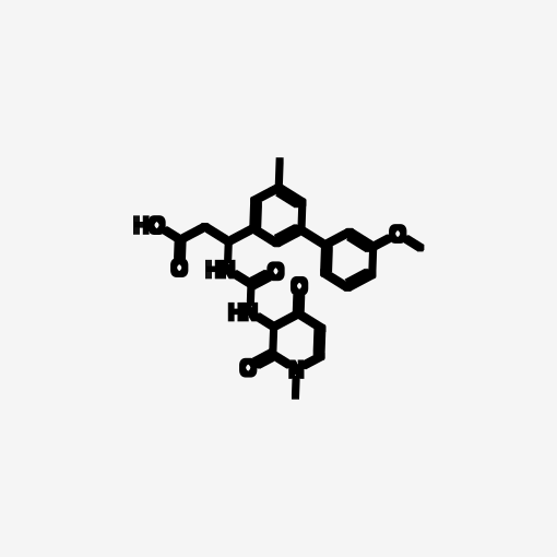 COc1cccc(-c2cc(C)cc(C(CC(=O)O)NC(=O)NC3C(=O)C=CN(C)C3=O)c2)c1